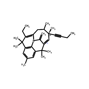 C=C1/C2=C\[C@@](C)(C#CCC)C(C)CC3=C(CC)C(C)(C)c4cc(C)cc(c4N13)C2(C)C